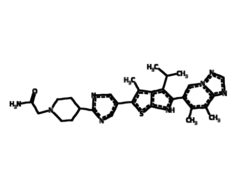 Cc1c(-c2[nH]c3sc(-c4cnc(C5CCN(CC(N)=O)CC5)nc4)c(C)c3c2C(C)C)cn2ncnc2c1C